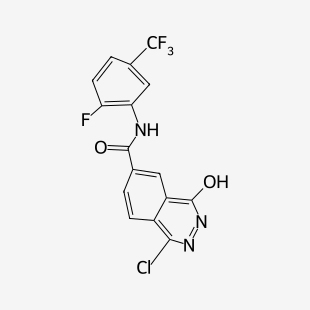 O=C(Nc1cc(C(F)(F)F)ccc1F)c1ccc2c(Cl)nnc(O)c2c1